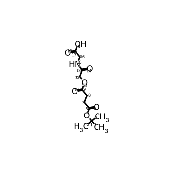 CC(C)(C)OC(=O)CCC(=O)OCC(=O)NCC(=O)O